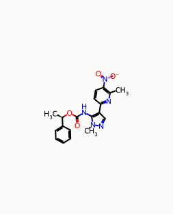 Cc1nc(-c2cnn(C)c2NC(=O)O[C@H](C)c2ccccc2)ccc1[N+](=O)[O-]